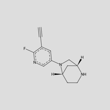 C#Cc1cc(N2C[C@H]3C[C@@H]2CCN3)cnc1F